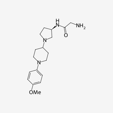 COc1ccc(N2CCC(N3CC[C@@H](NC(=O)CN)C3)CC2)cc1